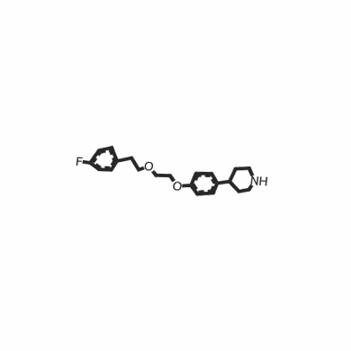 Fc1ccc(CCOCCOc2ccc(C3CCNCC3)cc2)cc1